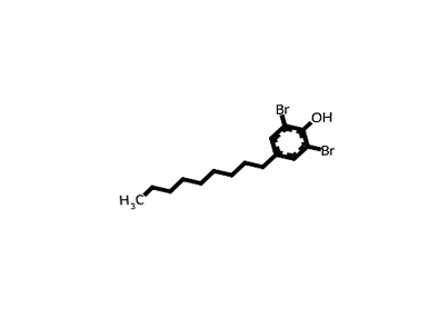 CCCCCCCCCc1cc(Br)c(O)c(Br)c1